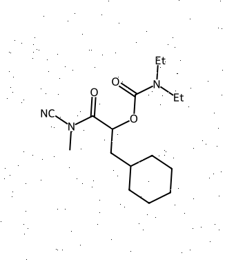 CCN(CC)C(=O)OC(CC1CCCCC1)C(=O)N(C)C#N